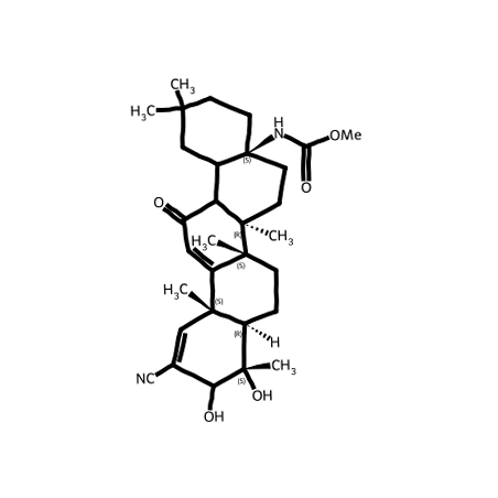 COC(=O)N[C@]12CCC(C)(C)CC1C1C(=O)C=C3[C@@]4(C)C=C(C#N)C(O)[C@@](C)(O)[C@@H]4CC[C@@]3(C)[C@]1(C)CC2